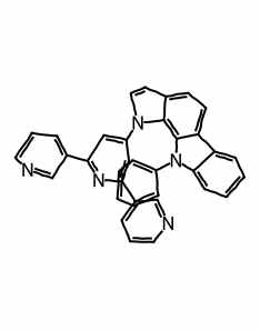 c1ccc(-n2c3ccccc3c3ccc4ccn(-c5cc(-c6cccnc6)nc(-c6cccnc6)c5)c4c32)cc1